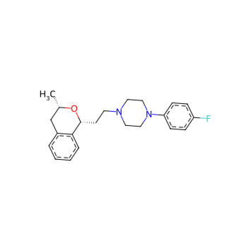 C[C@H]1Cc2ccccc2[C@@H](CCN2CCN(c3ccc(F)cc3)CC2)O1